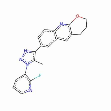 Cc1c(-c2ccc3nc4c(cc3c2)CCCO4)nnn1-c1cccnc1F